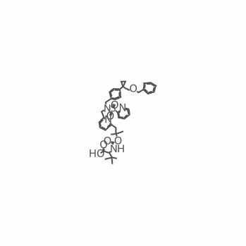 CC(C)(Cc1cccc(CN(Cc2ccc(C3(COCc4ccccc4)CC3)cc2)S(=O)(=O)c2ccccn2)n1)OC(=O)NC(C(=O)O)C(C)(C)C